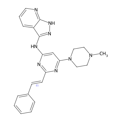 CN1CCN(c2cc(Nc3n[nH]c4ncccc34)nc(/C=C/c3ccccc3)n2)CC1